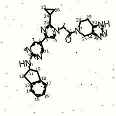 O=C(Cn1cc(-c2cnc(NC3Cc4ccccc4C3)nc2)nc1C1CC1)N1CCc2[nH]nnc2C1